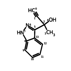 C#CC(C)(O)c1n[nH]c2ccccc12